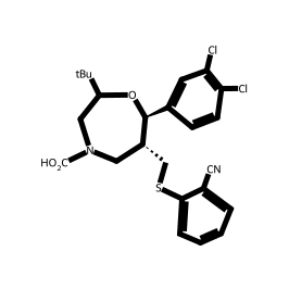 CC(C)(C)C1CN(C(=O)O)C[C@@H](CSc2ccccc2C#N)[C@H](c2ccc(Cl)c(Cl)c2)O1